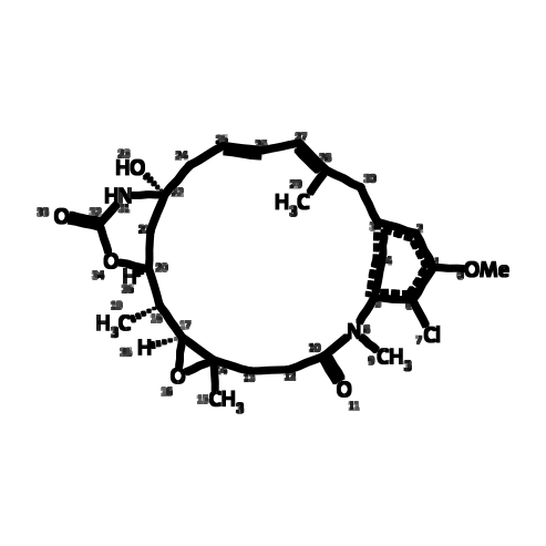 COc1cc2cc(c1Cl)N(C)C(=O)CCC1(C)O[C@H]1[C@H](C)[C@@H]1C[C@](O)(C/C=C/C=C(\C)C2)NC(=O)O1